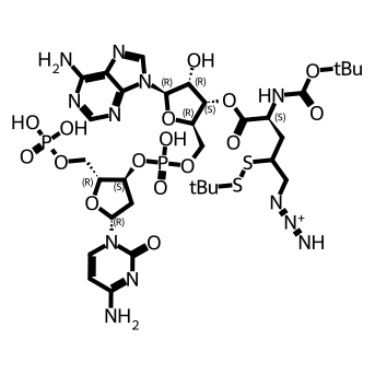 CC(C)(C)OC(=O)N[C@@H](CC(CN=[N+]=N)SSC(C)(C)C)C(=O)O[C@H]1[C@@H](O)[C@H](n2cnc3c(N)ncnc32)O[C@@H]1COP(=O)(O)O[C@H]1C[C@H](n2ccc(N)nc2=O)O[C@@H]1COP(=O)(O)O